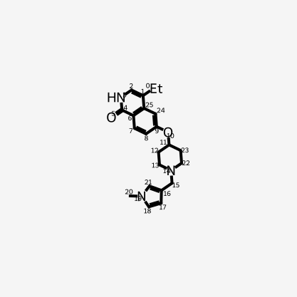 CCc1c[nH]c(=O)c2ccc(OC3CCN(Cc4ccn(C)c4)CC3)cc12